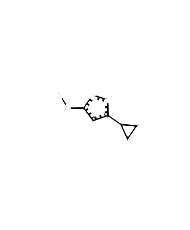 NNc1cc(C2CC2)n[nH]1